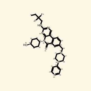 CCC(F)(F)CNc1ncc2c3ccc(CN4CCN(c5ccncc5)CC4)cc3c(=O)n([C@H]3CC[C@H](O)CC3)c2n1